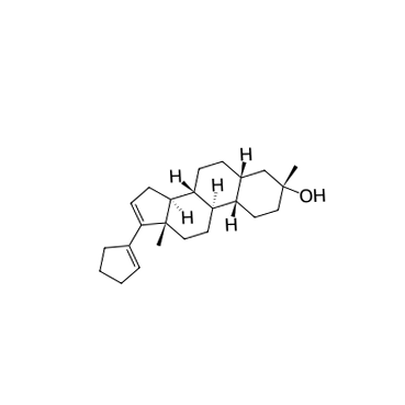 C[C@@]1(O)CC[C@H]2[C@H](CC[C@@H]3[C@@H]2CC[C@]2(C)C(C4=CCCC4)=CC[C@@H]32)C1